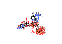 CCC1=C(N)c2ncn([C@@H]3OC(COP(=O)(O)OP(=O)(O)OP(=O)(O)OP(=O)(O)O)[C@@H](OP(=O)(O)OC[C@H]4O[C@@H](n5ccc(=O)[nH]c5=O)[C@H](O)[C@@H]4O)[C@H]3OC)c2N=CC1